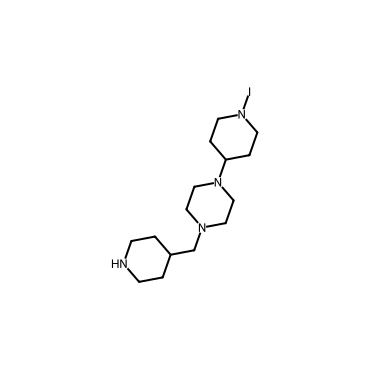 IN1CCC(N2CCN(CC3CCNCC3)CC2)CC1